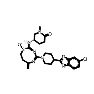 C=C1CC[S+]([O-])/C(N[C@H]2CCC(=O)N(C)C2)=N\C(N2CCC(c3nc4ccc(Cl)cc4o3)CC2)=N/1